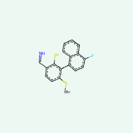 CC(C)(C)Sc1ccc(C=N)c(S)c1-c1ccc(F)c2ccccc12